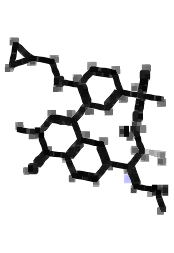 CN/C=C(/c1ccc2c(=O)n(C)cc(-c3cc(S(C)(=O)=O)ccc3OCC3CC3)c2c1)[C@@H](C)N